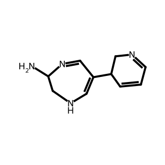 NC1CNC=C(C2C=CC=NC2)C=N1